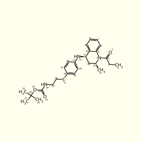 CCC(=O)N1c2ccccc2[C@H](Nc2ccc(SCCNC(=O)OC(C)(C)C)cc2)C[C@@H]1C